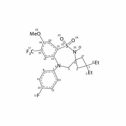 CCC1(CC)CC2(CN(c3ccc(F)cc3)c3cc(C(F)(F)F)c(OC)cc3S(=O)(=O)N2C)C1